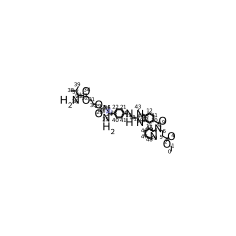 CCOC(=O)CCN(C(=O)c1ccc2c(c1)nc(CNc1ccc(/C(N)=N/C(=O)OCCOC(=O)[C@@H](N)C(C)C)cc1)n2C)c1ccccn1